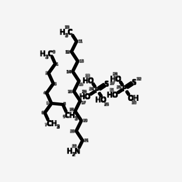 CCCCCC(CC)CC.CCCCCCCCCCCCN.OP(O)(O)=S.OP(O)(O)=S